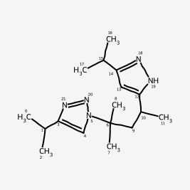 CC(C)c1cn(C(C)(C)CC(C)c2cc(C(C)C)n[nH]2)nn1